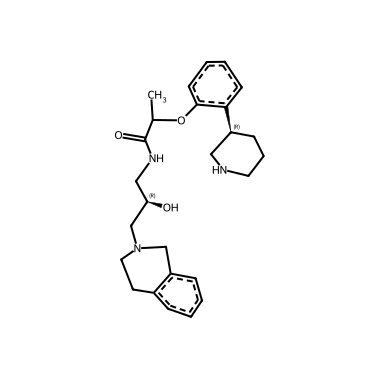 CC(Oc1ccccc1[C@H]1CCCNC1)C(=O)NC[C@@H](O)CN1CCc2ccccc2C1